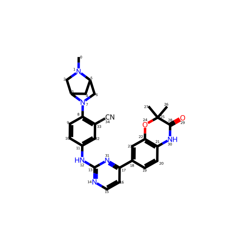 CN1CC2CC1CN2c1ccc(Nc2nccc(-c3ccc4c(c3)OC(C)(C)C(=O)N4)n2)cc1C#N